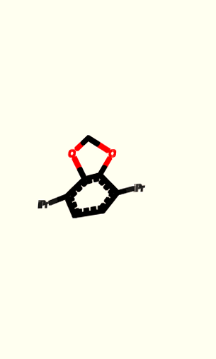 CC(C)c1ccc(C(C)C)c2c1OCO2